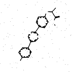 CCCCCc1ccc(-c2cnc(-c3ccc(OC(C)C(=O)OCCC)cc3)nc2)cc1